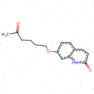 CC(=O)CCCCOc1ccc2ccc(=O)[nH]c2c1